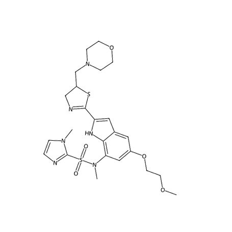 COCCOc1cc(N(C)S(=O)(=O)c2nccn2C)c2[nH]c(C3=NCC(CN4CCOCC4)S3)cc2c1